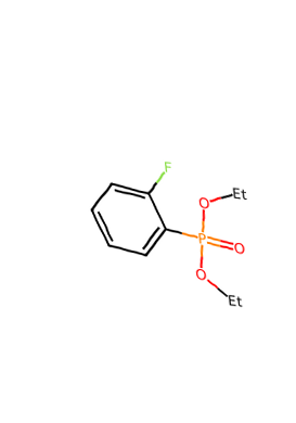 CCOP(=O)(OCC)c1ccccc1F